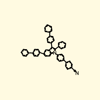 N#Cc1ccc(-c2ccc(-n3c(-c4ccccc4)c(-c4ccc(-c5ccccc5)cc4)c4cc(-c5ccc(-c6ccccc6)cc5)ccc43)cc2)cc1